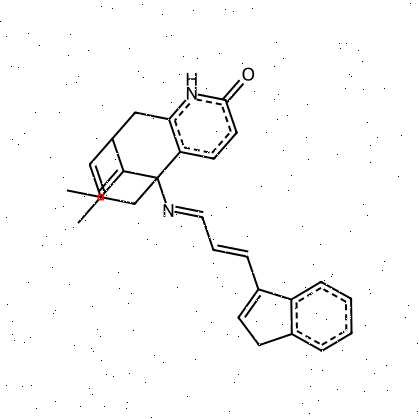 C/C=C1\C2C=C(C)CC1(/N=C/C=C/C1=CCc3ccccc31)c1ccc(=O)[nH]c1C2